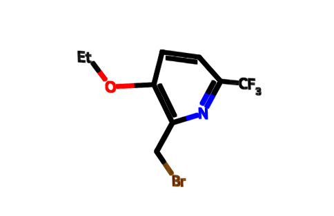 CCOc1ccc(C(F)(F)F)nc1CBr